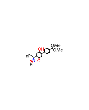 CCCC(=NOCC)C1=CC(O)=C(c2ccc(C(OC)OC)cc2)CC1=O